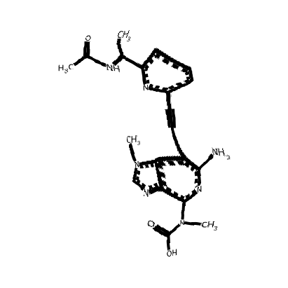 CC(=O)NC(C)c1cccc(C#Cc2c(N)nc(N(C)C(=O)O)c3ncn(C)c23)n1